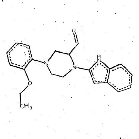 CCOc1ccccc1N1CCN(c2cc3ccccc3[nH]2)C(C=O)C1